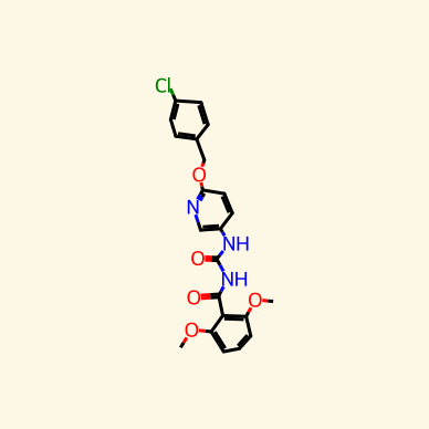 COc1cccc(OC)c1C(=O)NC(=O)Nc1ccc(OCc2ccc(Cl)cc2)nc1